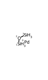 [Pd].[SiH3]O[SiH3]